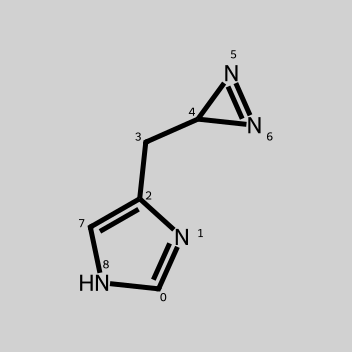 c1nc(CC2N=N2)c[nH]1